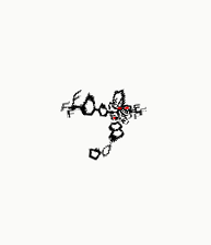 NC1CC2CCC(C1)N2C(=O)[C@H](N(OC(=O)C(F)(F)F)S(=O)(=O)c1ccc2cc(OC3CCCC3)ccc2c1)C(F)(F)c1ccc(-c2ccc(C(F)(F)F)cc2)cc1